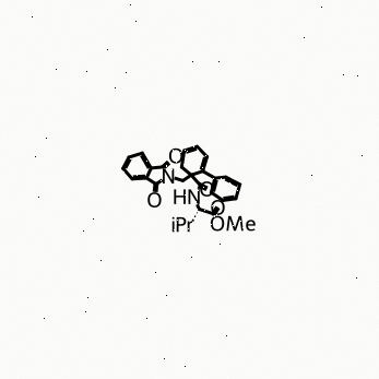 COC(=O)[C@@H](NC(=O)C1(CN2C(=O)c3ccccc3C2=O)CC=CC=C1c1ccccc1)C(C)C